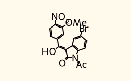 COc1cc(/C(O)=C2/C(=O)N(C(C)=O)c3ccc(Br)cc32)ccc1[N+](=O)[O-]